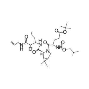 C=CCNC(=O)C(=O)C(CCC)NC(=O)[C@@H]1C2C(CN1C(=O)C(CCC(=O)OC(C)(C)C)NC(=O)OCC(C)C)C2(C)C